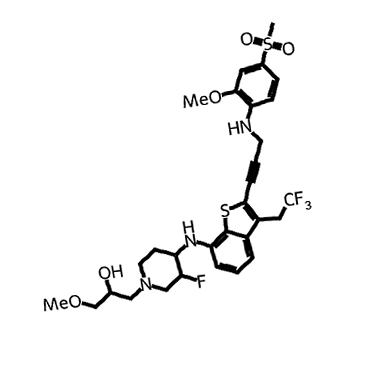 COCC(O)CN1CCC(Nc2cccc3c(CC(F)(F)F)c(C#CCNc4ccc(S(C)(=O)=O)cc4OC)sc23)C(F)C1